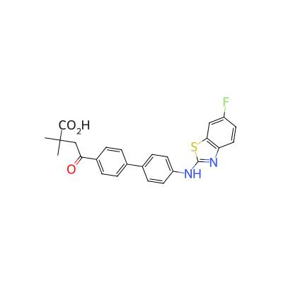 CC(C)(CC(=O)c1ccc(-c2ccc(Nc3nc4ccc(F)cc4s3)cc2)cc1)C(=O)O